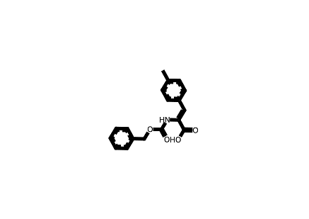 Cc1ccc(C=C(NC(=O)OCc2ccccc2)C(=O)O)cc1